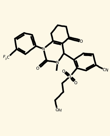 CN1C(=O)N(c2cccc(C(F)(F)F)c2)C2=C(C(=O)CCC2)C1c1ccc(C#N)cc1S(=O)(=O)CCCO